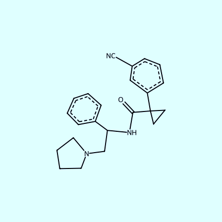 N#Cc1cccc(C2(C(=O)NC(CN3CCCC3)c3ccccc3)CC2)c1